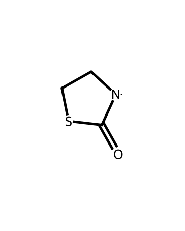 O=C1[N]CCS1